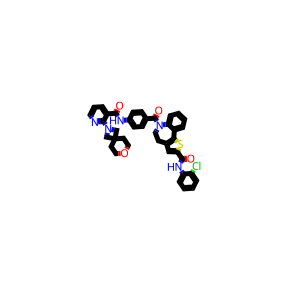 O=C(Nc1ccccc1Cl)c1cc2c(s1)-c1ccccc1N(C(=O)c1ccc(NC(=O)c3cccnc3N3CC4(CCOCC4)C3)cc1)CC2